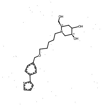 OC[C@H]1CC(O)[C@@H](O)CN1CCCCCOCc1ccc(-c2cccs2)cc1